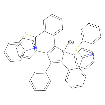 CC(C)(C)[Si]1(c2ccccc2)C(c2ccccc2-c2nc3ccccc3s2)=C(c2ccccc2)C(c2ccccc2)=C1c1ccccc1-c1nc2ccccc2s1